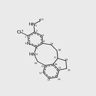 FNc1cc2c(nc1Cl)NCc1cccc3c1C(CC2)CC3